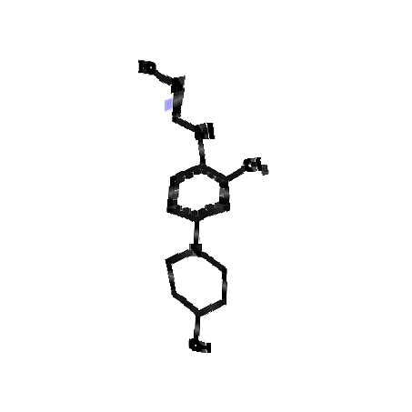 Cc1cc(N2CCC(O)CC2)ccc1N/C=N/O